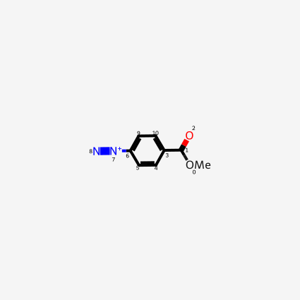 COC(=O)c1ccc([N+]#N)cc1